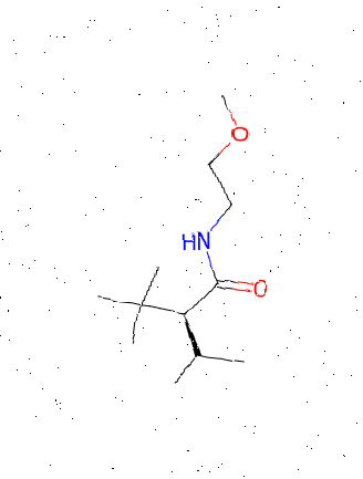 COCCNC(=O)[C@@H](C(C)C)C(C)(C)C